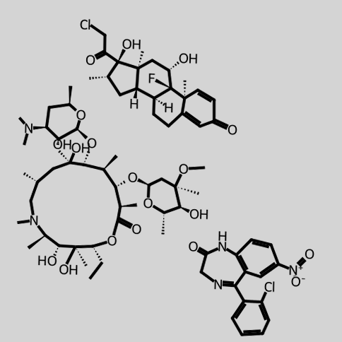 CC[C@H]1OC(=O)[C@H](C)[C@@H](O[C@H]2C[C@@](C)(OC)[C@@H](O)[C@H](C)O2)[C@H](C)[C@@H](O[C@@H]2O[C@H](C)C[C@H](N(C)C)[C@H]2O)[C@](C)(O)C[C@@H](C)CN(C)[C@H](C)[C@@H](O)[C@]1(C)O.C[C@H]1C[C@H]2[C@@H]3CCC4=CC(=O)C=C[C@]4(C)[C@@]3(F)[C@@H](O)C[C@]2(C)[C@@]1(O)C(=O)CCl.O=C1CN=C(c2ccccc2Cl)c2cc([N+](=O)[O-])ccc2N1